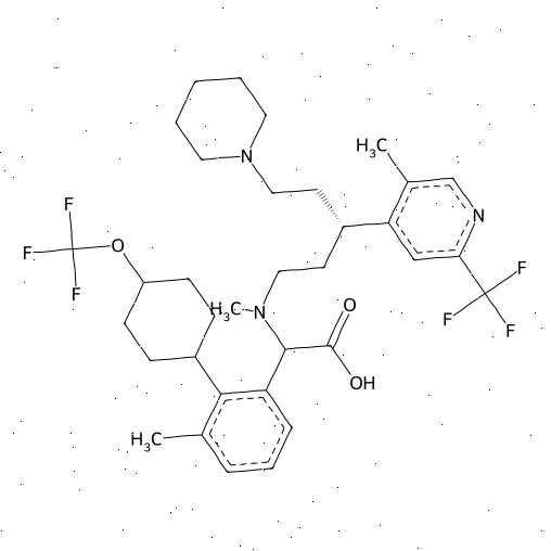 Cc1cnc(C(F)(F)F)cc1[C@@H](CCN1CCCCC1)CCN(C)C(C(=O)O)c1cccc(C)c1C1CCC(OC(F)(F)F)CC1